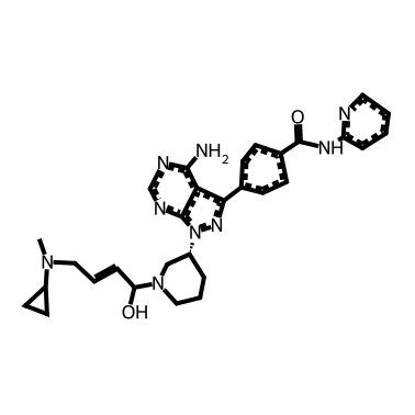 CN(C/C=C/C(O)N1CCC[C@@H](n2nc(-c3ccc(C(=O)Nc4ccccn4)cc3)c3c(N)ncnc32)C1)C1CC1